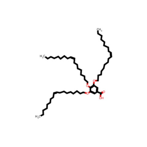 CCCCCCCC/C=C\CCCCCCCCOc1cc(C(=O)O)cc(OCCCCCCCC/C=C\CCCCCCCC)c1OCCCCCCCC/C=C\CCCCCCCC